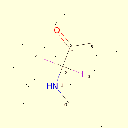 CNC(I)(I)C(C)=O